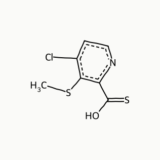 CSc1c(Cl)ccnc1C(O)=S